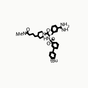 CNC(=O)CCCC1CCN(C(=O)[C@H](Cc2cccc(C(=N)N)c2)NS(=O)(=O)c2cccc(-c3ccc(C(C)(C)C)cc3)c2)CC1